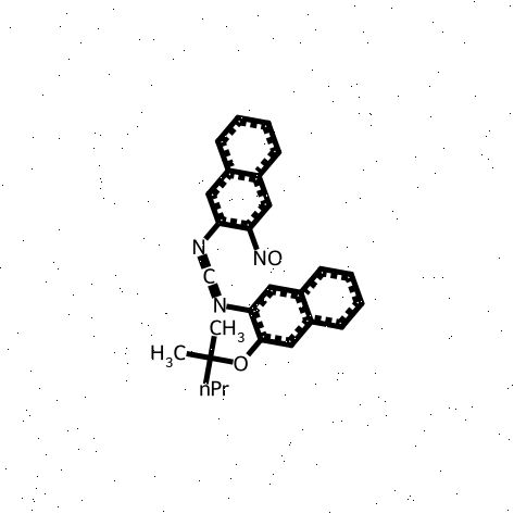 CCCC(C)(C)Oc1cc2ccccc2cc1N=C=Nc1cc2ccccc2cc1N=O